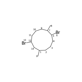 CC1CCCC(Br)C(C)CCCC(Br)C1